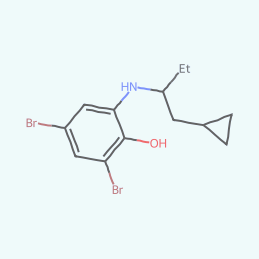 CCC(CC1CC1)Nc1cc(Br)cc(Br)c1O